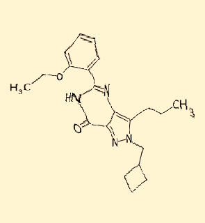 CCCc1c2nc(-c3ccccc3OCC)[nH]c(=O)c2nn1CC1CCC1